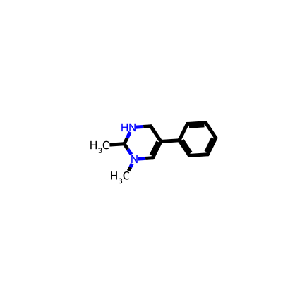 CC1NCC(c2ccccc2)=CN1C